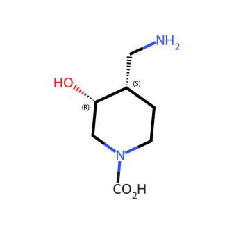 NC[C@@H]1CCN(C(=O)O)C[C@@H]1O